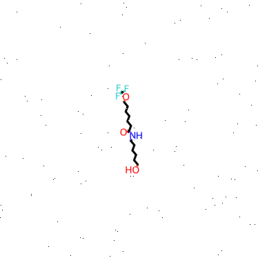 O=C(CCCCCCOC(F)(F)F)NCCCCCCO